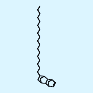 CCCCCCCCCCCCCCCCCCC1CC2CC1C1C3C=CC(C3)C21